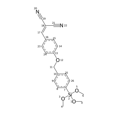 CO[Si](OC)(OC)c1ccc(COc2ccc(C=C(C#N)C#N)cc2)cc1